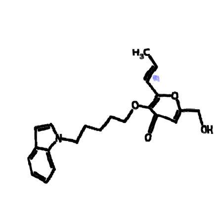 C/C=C/c1oc(CO)cc(=O)c1OCCCCCn1ccc2ccccc21